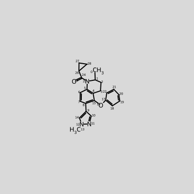 CC1CCc2c(ccc(-c3cnn(C)c3)c2Oc2ccccc2)N1C(=O)C1CC1